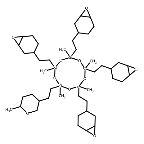 CC1CCC(CC[Si]2(C)O[Si](C)(CCC3CCC4OC4C3)O[Si](C)(CCC3CCC4OC4C3)O[Si](C)(CCC3CCC4OC4C3)O[Si](C)(CCC3CCC4OC4C3)O2)CO1